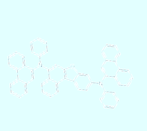 c1ccc(N(c2ccc3c(c2)oc2cc(N(c4ccccc4)c4cc5ccccc5c5ccccc45)c4ccccc4c23)c2cc3ccccc3c3ccccc23)cc1